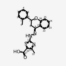 Cc1ccccc1C1CC(=NNc2nc(C)c(C(=O)O)s2)c2ccccc2O1